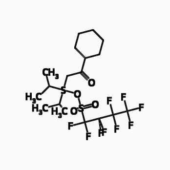 CC(C)S(CC(=O)C1CCCCC1)(OS(=O)(=O)C(F)(F)C(F)(F)C(F)(F)C(F)(F)F)C(C)C